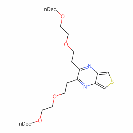 CCCCCCCCCCOCCOCCc1nc2cscc2nc1CCOCCOCCCCCCCCCC